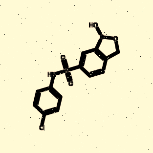 O=S(=O)(Nc1ccc(Cl)cc1)c1ccc2c(c1)B(O)OC2